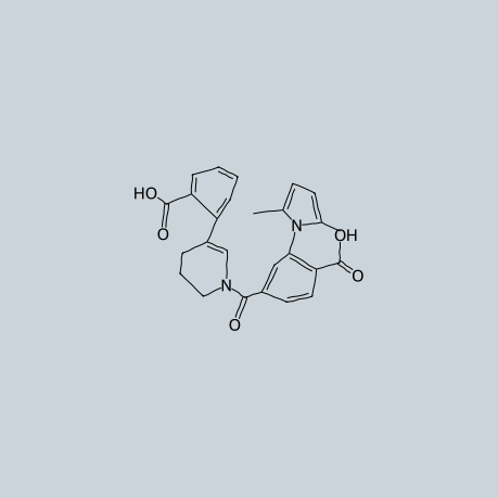 Cc1ccc(C)n1-c1cc(C(=O)N2C=C(c3ccccc3C(=O)O)CCC2)ccc1C(=O)O